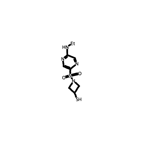 CCNc1cnc(S(=O)(=O)N2CC(S)C2)cn1